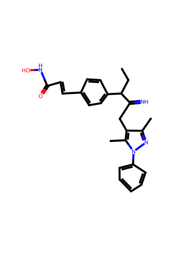 CCC(C(=N)Cc1c(C)nn(-c2ccccc2)c1C)c1ccc(/C=C/C(=O)NO)cc1